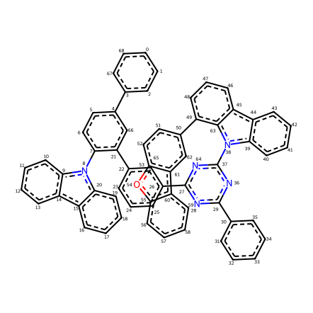 c1ccc(-c2ccc(-n3c4ccccc4c4ccccc43)c(-c3cccc(-c4nc(-c5ccccc5)nc(-n5c6ccccc6c6cccc(-c7ccc8oc9ccccc9c8c7)c65)n4)c3)c2)cc1